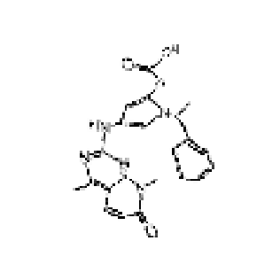 Cc1nc(Nc2cc(OC(=O)O)n(C(C)c3ccccc3)c2)nc2c1ccc(=O)n2C